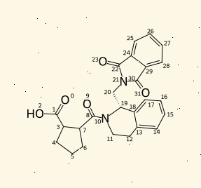 O=C(O)C1CCCC1C(=O)N1CCc2ccccc2[C@H]1CN1C(=O)c2ccccc2C1=O